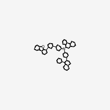 c1ccc(-c2c(-c3ccc(N(c4ccc(-c5cccc(-c6cccc7c6oc6ccccc67)c5)cc4)c4cc5ccccc5c5ccccc45)cc3)ccc3ccccc23)cc1